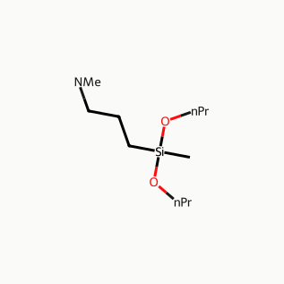 CCCO[Si](C)(CCCNC)OCCC